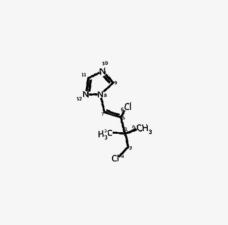 CC(C)(CCl)/C(Cl)=C/n1cncn1